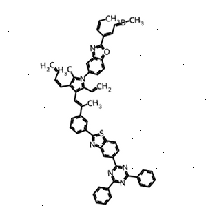 C=C/C=C\c1c(/C=C(\C)c2cccc(-c3nc4cc(-c5nc(-c6ccccc6)nc(-c6ccccc6)n5)ccc4s3)c2)c(C=C)n(-c2ccc3oc(C(/C=C\C)=C/C=B\C)nc3c2)c1C